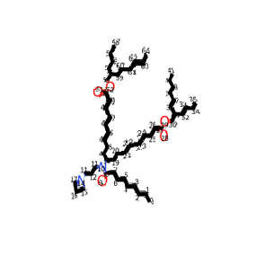 CCCCCCCCC(=O)N(CCCN1CCC1)C(CCCCCCCCC(=O)OCC(CCCC)CCCCCC)CCCCCCCCC(=O)OCC(CCCC)CCCCCC